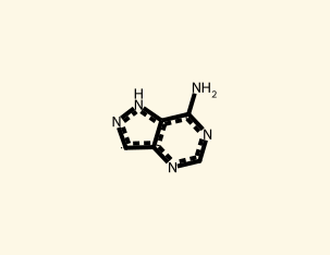 Nc1ncnc2[c]n[nH]c12